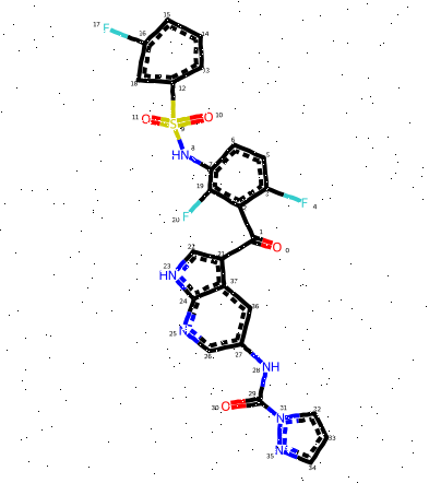 O=C(c1c(F)ccc(NS(=O)(=O)c2cccc(F)c2)c1F)c1c[nH]c2ncc(NC(=O)n3cccn3)cc12